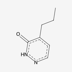 CCCc1ccn[nH]c1=O